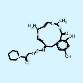 C[C@@H]1C/C=C/[C@H](N)C/C=C/C(=N\SOCC(=O)N2CCCCC2)Cc2cc(O)cc(O)c2C(=O)O1